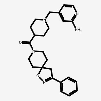 Nc1cc(CN2CCC(C(=O)N3CCC4(CC3)CC(c3ccccc3)=NO4)CC2)ccn1